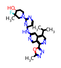 Cc1nnc(-c2ncc(C(C)C)c3cc(Nc4ccnc(N5CC[C@@H](O)[C@@](C)(F)C5)n4)ncc23)o1